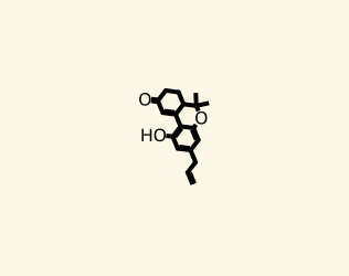 C=CCc1cc(O)c2c(c1)OC(C)(C)C1CCC(=O)C=C21